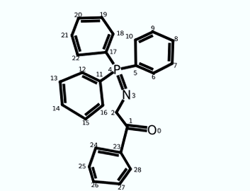 O=C(CN=P(c1ccccc1)(c1ccccc1)c1ccccc1)c1ccccc1